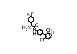 Cc1nccc(Cl)c1-c1ccc(NC(=O)[C@@H](N)C2CCC(F)(F)CC2)cc1